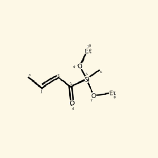 CC=CC(=O)[Si](C)(OCC)OCC